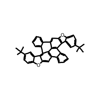 CC(C)(C)c1ccc2oc3cc4c5ccccc5c5c6c(cc7c8ccccc8c(c3c2c1)c4c75)oc1ccc(C(C)(C)C)cc16